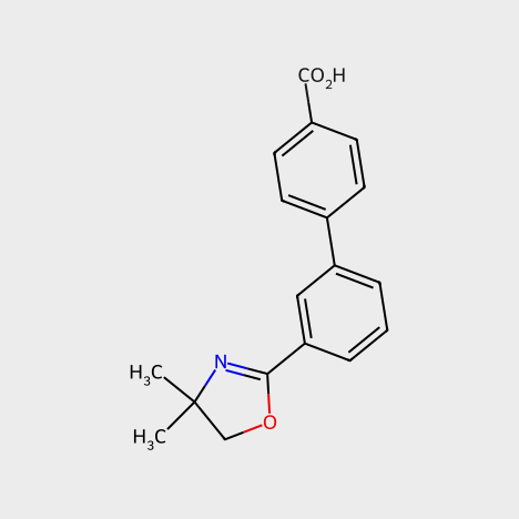 CC1(C)COC(c2cccc(-c3ccc(C(=O)O)cc3)c2)=N1